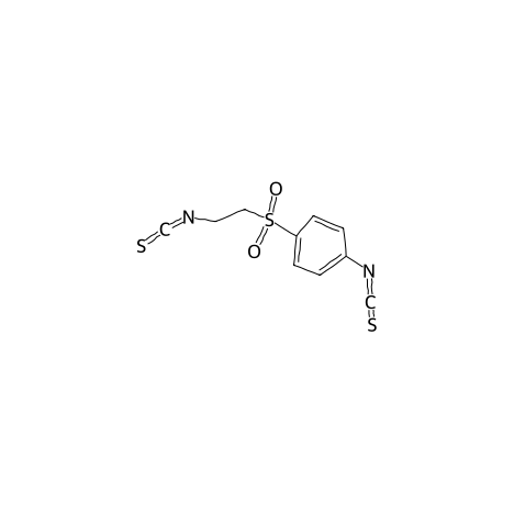 O=S(=O)(CCN=C=S)c1ccc(N=C=S)cc1